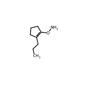 CCCC1=C(ON)CCC1